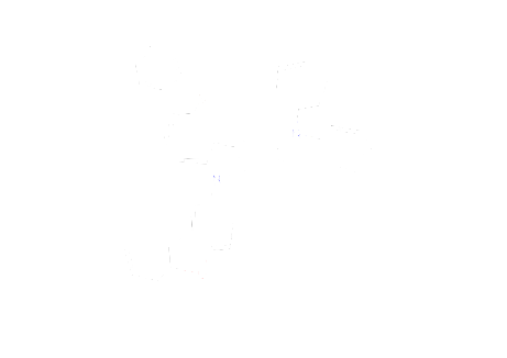 c1ccc2c(c1)oc1ccc(-n3c4ccc(-n5c6ccccc6c6ccccc65)cc4c4c5sc6ccccc6c5ccc43)cc12